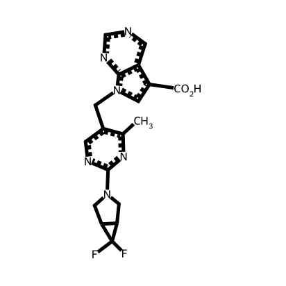 Cc1nc(N2CC3C(C2)C3(F)F)ncc1Cn1cc(C(=O)O)c2cncnc21